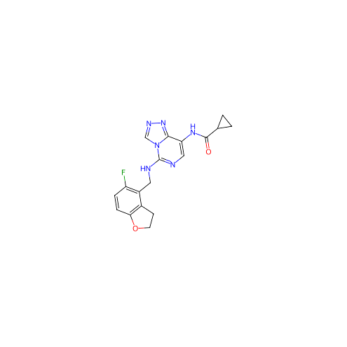 O=C(Nc1cnc(NCc2c(F)ccc3c2CCO3)n2cnnc12)C1CC1